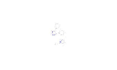 CCCCc1nc(Cc2ccc(-c3ccccc3-c3nnn[nH]3)cc2)nn1CCCC